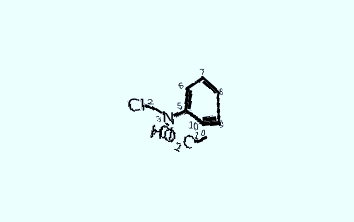 CC(=O)O.ClN(Cl)c1ccccc1